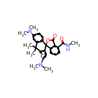 CNC(=O)c1cccc2c1C(=O)OC21c2ccc(N(C)C)cc2C(C)(C)c2cc(N(C)C)ccc21